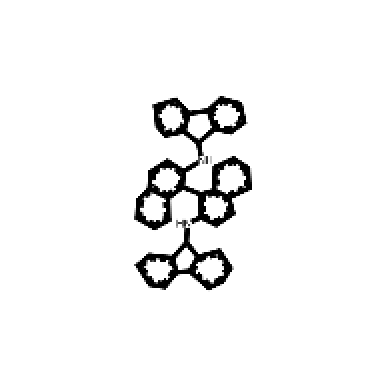 c1ccc2c(c1)-c1ccccc1C2Nc1ccc2ccccc2c1-c1c(NC2c3ccccc3-c3ccccc32)ccc2ccccc12